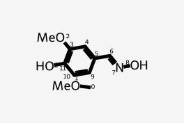 COC.COc1cc(C=NO)ccc1O